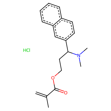 C=C(C)C(=O)OCCC(c1ccc2ccccc2c1)N(C)C.Cl